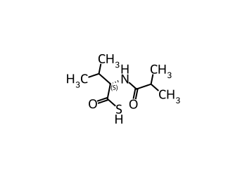 CC(C)C(=O)N[C@H](C(=O)S)C(C)C